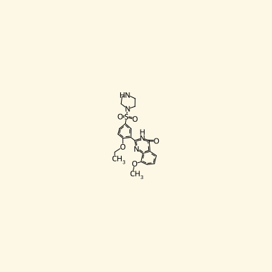 CCOc1ccc(S(=O)(=O)N2CCNCC2)cc1-c1nc2c(OC)cccc2c(=O)[nH]1